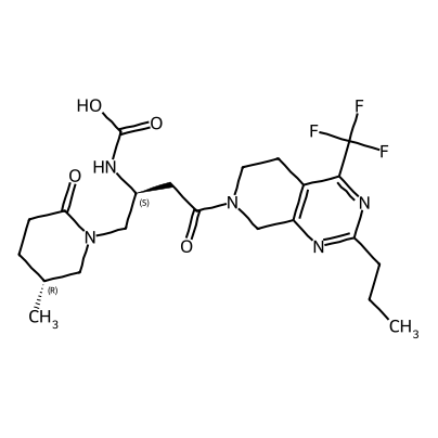 CCCc1nc2c(c(C(F)(F)F)n1)CCN(C(=O)C[C@@H](CN1C[C@H](C)CCC1=O)NC(=O)O)C2